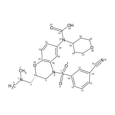 CN(C)C[C@H]1CN(S(=O)(=O)c2cccc(C#N)c2)c2cc(N(C(=O)O)C3CCOCC3)ccc2O1